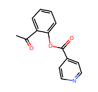 CC(=O)c1ccccc1OC(=O)c1ccncc1